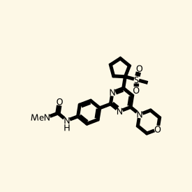 CNC(=O)Nc1ccc(-c2nc(N3CCOCC3)cc(C3(S(C)(=O)=O)CCCC3)n2)cc1